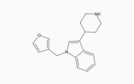 c1ccc2c(c1)c(C1CCNCC1)cn2Cc1ccoc1